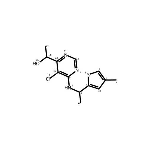 Cc1csc(C(C)Nc2ncnc(C(C)O)c2Cl)c1